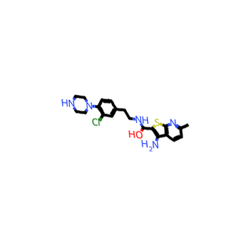 Cc1ccc2c(N)c(C(O)NCCc3ccc(N4CCNCC4)c(Cl)c3)sc2n1